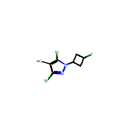 N#Cc1c(Br)nn(C2CC(F)C2)c1Br